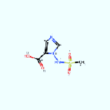 CS(=O)(=O)Nn1cncc1C(=O)O